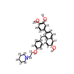 COc1ccc2c(Cc3ccc(OCCN4CCCCC4)cc3)c(-c3ccc(OC)c(OC)c3)ccc2c1